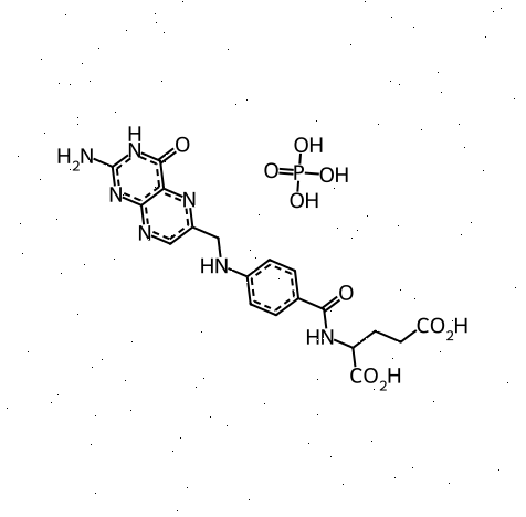 Nc1nc2ncc(CNc3ccc(C(=O)NC(CCC(=O)O)C(=O)O)cc3)nc2c(=O)[nH]1.O=P(O)(O)O